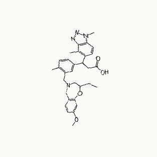 CCC1CN(Cc2cc(C(CC(=O)O)c3ccc4c(nnn4C)c3C)ccc2C)Cc2ccc(OC)cc2O1